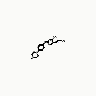 CN1CCN(c2ccc(Nc3ncc(/C=C/C#N)c(N)n3)cc2)CC1